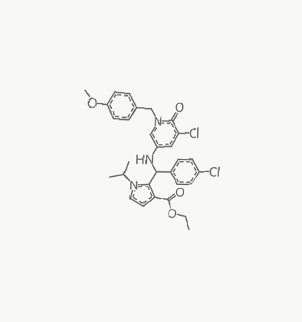 CCOC(=O)c1ccn(C(C)C)c1C(Nc1cc(Cl)c(=O)n(Cc2ccc(OC)cc2)c1)c1ccc(Cl)cc1